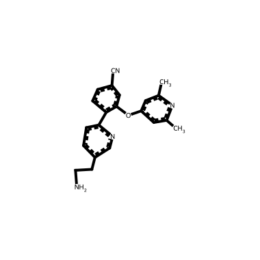 Cc1cc(Oc2cc(C#N)ccc2-c2ccc(CCN)cn2)cc(C)n1